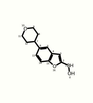 OBc1cc2cc(C3CCOCC3)ccc2o1